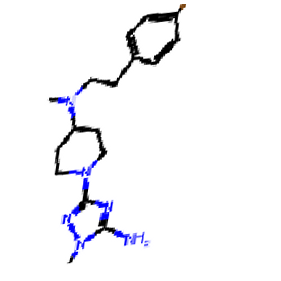 CN(CCc1ccc(Br)cc1)C1CCN(c2nc(N)n(C)n2)CC1